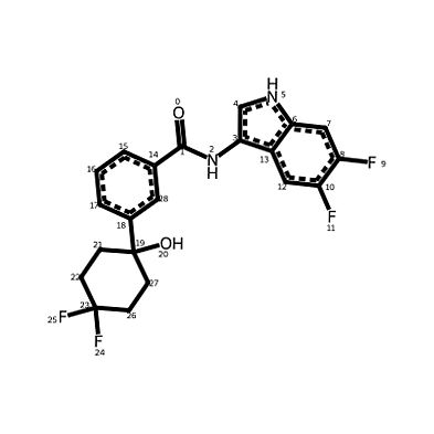 O=C(Nc1c[nH]c2cc(F)c(F)cc12)c1cccc(C2(O)CCC(F)(F)CC2)c1